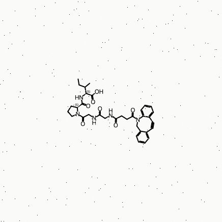 CCC(C)[C@H](NC(=O)[C@@H]1CCCN1C(=O)CNC(=O)CNC(=O)CCC(=O)N1Cc2ccccc2C#Cc2ccccc21)C(=O)O